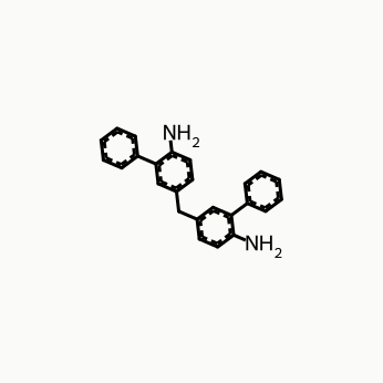 Nc1ccc(Cc2ccc(N)c(-c3ccccc3)c2)cc1-c1ccccc1